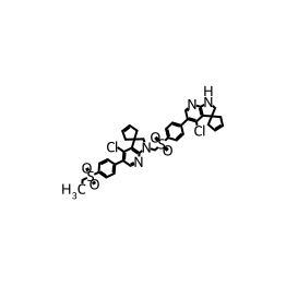 CCS(=O)(=O)c1ccc(-c2cnc3c(c2Cl)C2(CC=CC2)CN3CS(=O)(=O)c2ccc(-c3cnc4c(c3Cl)C3(CC=CC3)CN4)cc2)cc1